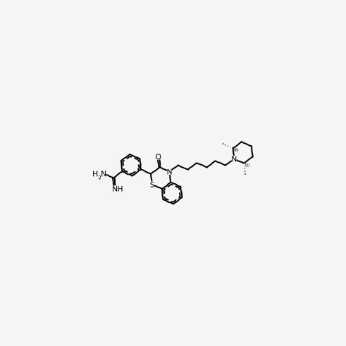 C[C@@H]1CCC[C@H](C)N1CCCCCCN1C(=O)C(c2cccc(C(=N)N)c2)Sc2ccccc21